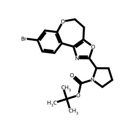 CC(C)(C)OC(=O)N1CCCC1c1nc2c(o1)CCOc1cc(Br)ccc1-2